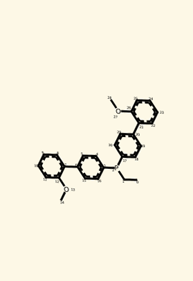 CCP(c1ccc(-c2ccccc2OC)cc1)c1ccc(-c2ccccc2OC)cc1